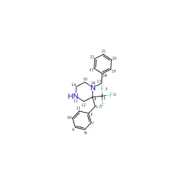 FC(F)(F)C1(Cc2ccccc2)CNCCN1Cc1ccccc1